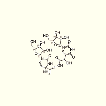 CC(=O)C1(N)C=CN([C@@H]2O[C@H](CO)[C@@H](O)[C@H]2O)C(=O)N1.O=C(O)C(O)c1cn([C@@H]2O[C@H](CO)[C@@H](O)[C@H]2O)c(=O)[nH]c1=O